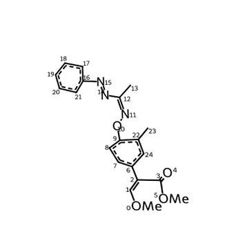 COC=C(C(=O)OC)c1ccc(ON=C(C)N=Nc2ccccc2)c(C)c1